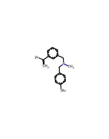 C=C(c1cccc(CN(C)Cc2ccc(C(C)(C)C)cc2)c1)C(C)C